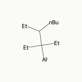 CCCCC(CC)[C]([Al])(CC)CC